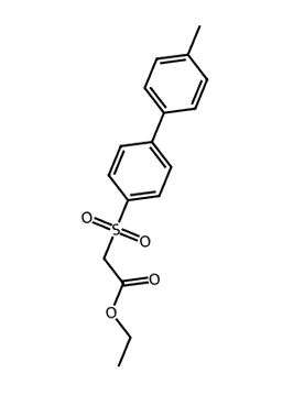 CCOC(=O)CS(=O)(=O)c1ccc(-c2ccc(C)cc2)cc1